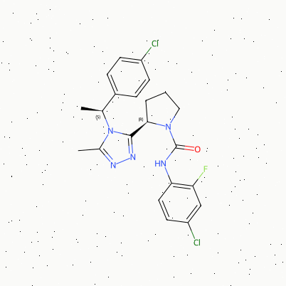 Cc1nnc([C@H]2CCCN2C(=O)Nc2ccc(Cl)cc2F)n1[C@@H](C)c1ccc(Cl)cc1